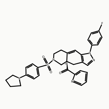 O=C(c1ccccn1)[C@]12Cc3cnn(-c4ccc(F)cc4)c3C=C1CCN(S(=O)(=O)c1ccc(N3CCCC3)cc1)C2